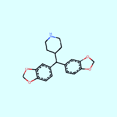 c1cc2c(cc1C(c1ccc3c(c1)OCO3)C1CCNCC1)OCO2